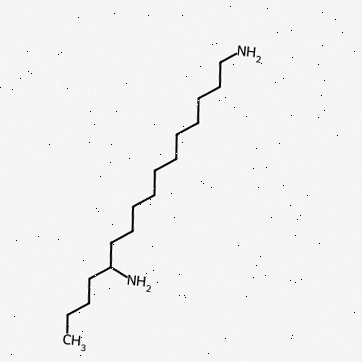 CCCCC(N)CCCCCCCCCCCN